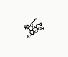 CCCCOC1CON=C1c1cc(Br)ccc1O[C@@H](CC1CC1)C(=O)O